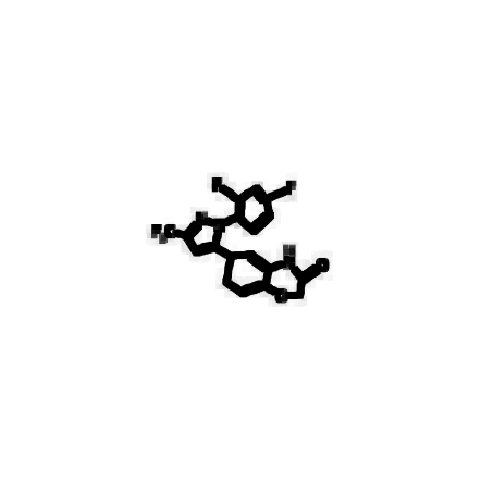 O=C1COC2=CCC(c3cc(C(F)(F)F)nn3-c3ccc(F)cc3F)C=C2N1